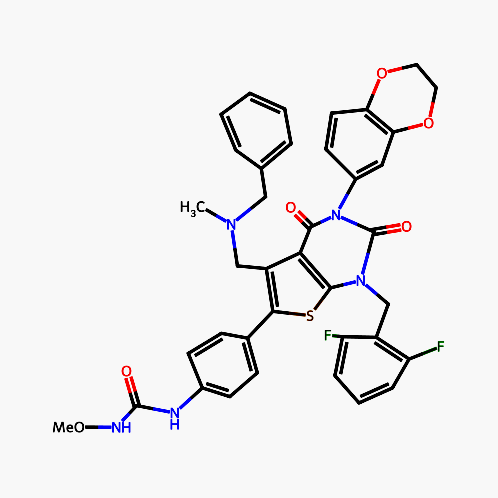 CONC(=O)Nc1ccc(-c2sc3c(c2CN(C)Cc2ccccc2)c(=O)n(-c2ccc4c(c2)OCCO4)c(=O)n3Cc2c(F)cccc2F)cc1